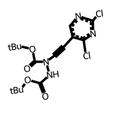 CC(C)(C)OC(=O)NN(C#Cc1cnc(Cl)nc1Cl)C(=O)OC(C)(C)C